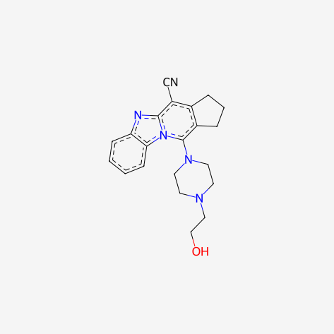 N#Cc1c2c(c(N3CCN(CCO)CC3)n3c1nc1ccccc13)CCC2